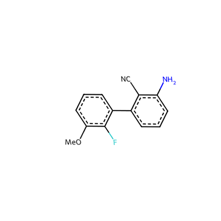 COc1cccc(-c2cccc(N)c2C#N)c1F